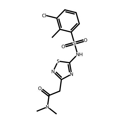 Cc1c(Cl)cccc1S(=O)(=O)Nc1nc(CC(=O)N(C)C)ns1